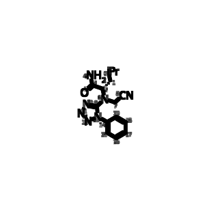 CC(C)C[C@@H](C(N)=O)N(CC#N)c1nnnn1-c1ccccc1